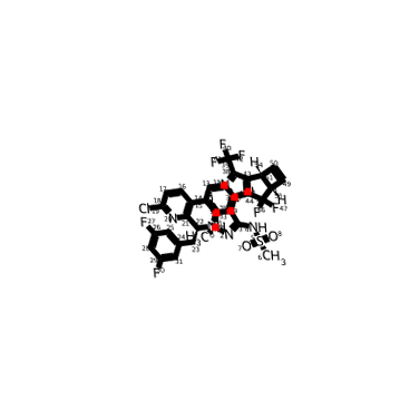 Cn1nc(NS(C)(=O)=O)c2c(Cl)ccc(-c3ccc(Cl)nc3[C@H](Cc3cc(F)cc(F)c3)NC(=O)Cn3nc(C(F)(F)F)c4c3C(F)(F)[C@@H]3C#C[C@H]43)c21